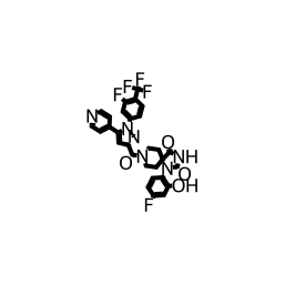 O=C(c1cc(-c2ccncc2)n(-c2ccc(C(F)(F)F)c(F)c2)n1)N1CCC2(CC1)C(=O)NC(=O)N2c1ccc(F)cc1O